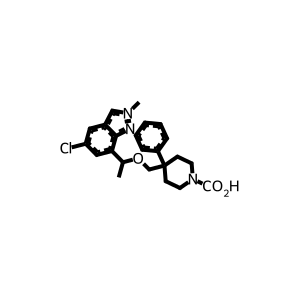 CC(OCC1(c2ccccc2)CCN(C(=O)O)CC1)c1cc(Cl)cc2cn(C)nc12